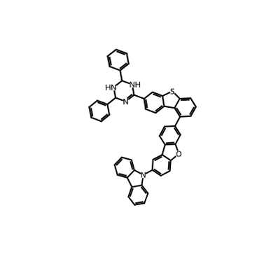 c1ccc(C2N=C(c3ccc4c(c3)sc3cccc(-c5ccc6c(c5)oc5ccc(-n7c8ccccc8c8ccccc87)cc56)c34)NC(c3ccccc3)N2)cc1